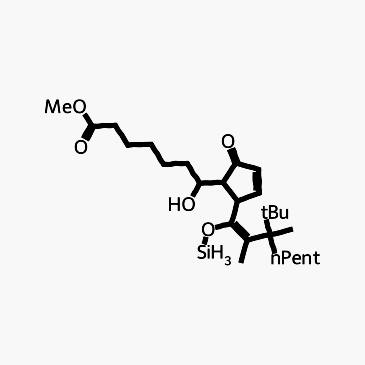 CCCCCC(C)(C(C)=C(O[SiH3])C1C=CC(=O)C1C(O)CCCCCC(=O)OC)C(C)(C)C